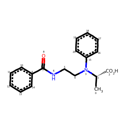 C[C@@H](C(=O)O)N(CCNC(=O)c1ccccc1)c1ccccc1